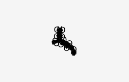 CCC(C)OC(=O)c1cc(-n2c(=O)c3cc4c(=O)n(C)c(=O)c4cc3c2=O)cc(-n2c(=O)c3cc4c(=O)n(-c5ccc(Oc6ccc(C)cc6)cc5)c(=O)c4cc3c2=O)c1